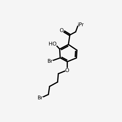 CC(C)CC(=O)c1ccc(OCCCCBr)c(Br)c1O